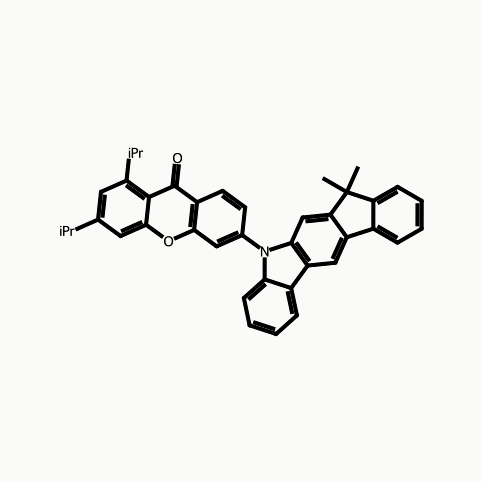 CC(C)c1cc(C(C)C)c2c(=O)c3ccc(-n4c5ccccc5c5cc6c(cc54)C(C)(C)c4ccccc4-6)cc3oc2c1